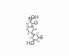 O=C1/C(=N\O)Cc2ccc(-c3cc(O)cc(F)c3)cc21